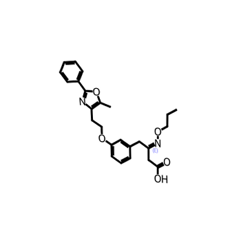 CCCO/N=C(/CC(=O)O)Cc1cccc(OCCc2nc(-c3ccccc3)oc2C)c1